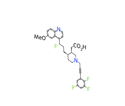 COc1ccc2nccc([C@@H](F)CC[C@@H]3CCN(CC#Cc4cc(F)cc(F)c4F)C[C@@H]3CC(=O)O)c2c1